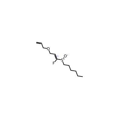 C=CCOC/C=C(\F)[S+]([O-])CCCCCC